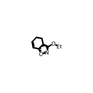 CCOc1noc2c1CCC=C2